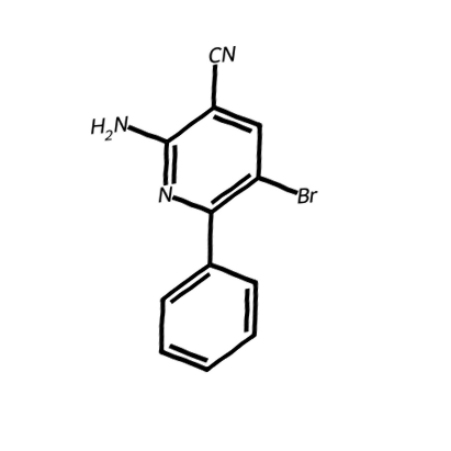 N#Cc1cc(Br)c(-c2ccccc2)nc1N